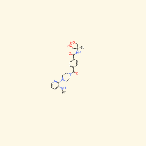 CCC(CO)(CO)NC(=O)c1ccc(C(=O)N2CCN(c3ncccc3NC(C)C)CC2)cc1